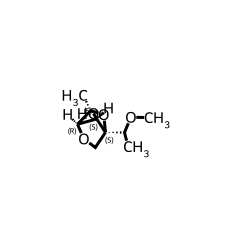 COC(C)[C@@]12CO[C@@H]([C@H](C)O1)[C@@H]2O